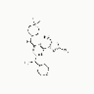 Cc1cc(C)n(-c2nc(NC3CCC(F)(F)CC3)cc(C(C)N3CCOCC3)n2)n1